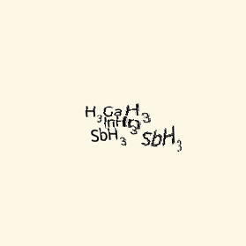 [GaH3].[InH3].[InH3].[SbH3].[SbH3]